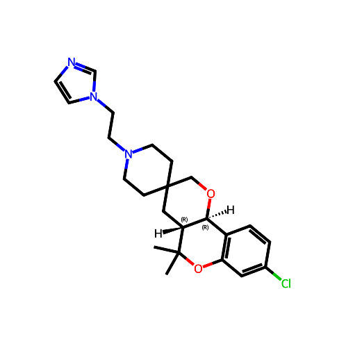 CC1(C)Oc2cc(Cl)ccc2[C@@H]2OCC3(CCN(CCn4ccnc4)CC3)C[C@H]21